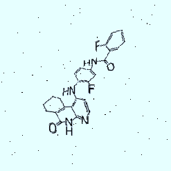 O=C(Nc1ccc(Nc2ccnc3[nH]c(=O)c4c(c23)CCCC4)c(F)c1)c1ccccc1F